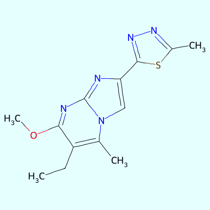 CCc1c(OC)nc2nc(-c3nnc(C)s3)cn2c1C